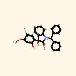 COc1cc(O)c(C2(O)C(=O)N(C(c3ccccc3)c3ccccc3)c3ccccc32)cc1F